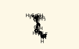 CCNC(=O)C(NC(=O)OCc1ccnc(C(=O)N[C@H]2CCC[C@@H](Nc3nc(-c4c[nH]c5ncc(F)cc45)ncc3F)C2)c1)C(C)(C)C